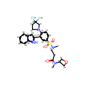 CN(C(=O)CCN(C)S(=O)(=O)c1ccc(N2CCC(F)(F)C2)c(-c2cc3ccccc3[nH]2)c1)C1COC1